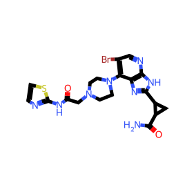 NC(=O)C1CC1c1nc2c(N3CCN(CC(=O)Nc4nccs4)CC3)c(Br)cnc2[nH]1